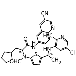 Cc1ncc(Cl)cc1N[C@@H](C)c1ccc(N(C=O)[C@@H](CC2CCCC2)C(=O)Nc2ccc3ncc(C#N)cc3c2)s1